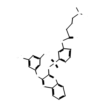 COc1cc(Nc2nc3ccccc3nc2NS(=O)(=O)c2cccc(NC(=O)CCCN(C)C)c2)cc(OC)c1